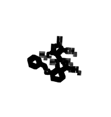 Cc1n[nH]c(C)c1C(C)Nc1c(OCc2ccccc2)cccc1C(N)=O